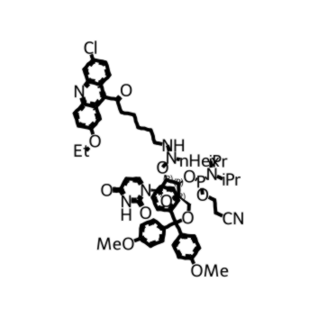 CCCCCCN(NCCCCCC(=O)c1c2ccc(Cl)cc2nc2ccc(OCC)cc12)O[C@@H]1[C@H](OP(OCCC#N)N(C(C)C)C(C)C)[C@@H](COC(c2ccccc2)(c2ccc(OC)cc2)c2ccc(OC)cc2)O[C@H]1n1ccc(=O)[nH]c1=O